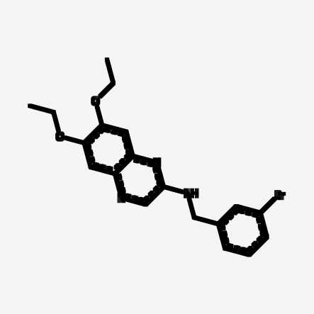 CCOc1cc2ncc(NCc3cccc(Br)c3)nc2cc1OCC